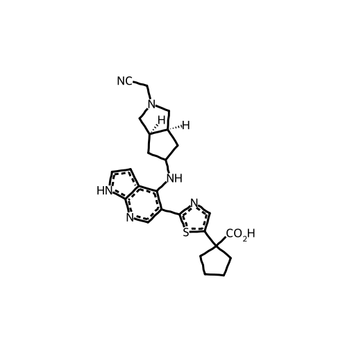 N#CCN1C[C@H]2CC(Nc3c(-c4ncc(C5(C(=O)O)CCCC5)s4)cnc4[nH]ccc34)C[C@H]2C1